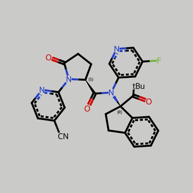 CC(C)(C)C(=O)[C@@]1(N(C(=O)[C@@H]2CCC(=O)N2c2cc(C#N)ccn2)c2cncc(F)c2)CCc2ccccc21